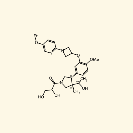 CCOc1ccc(N2CC(Oc3cc([C@@H]4CN(C(=O)C(O)CO)C[C@@]4(C)[C@@H](C)O)ccc3OC)C2)nc1